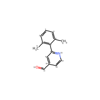 Cc1cccc(C)c1-c1cc(C=O)ccn1